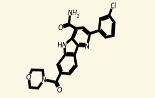 NC(=O)c1cc(-c2cccc(Cl)c2)nc2c1[nH]c1cc(C(=O)N3CCOCC3)ccc12